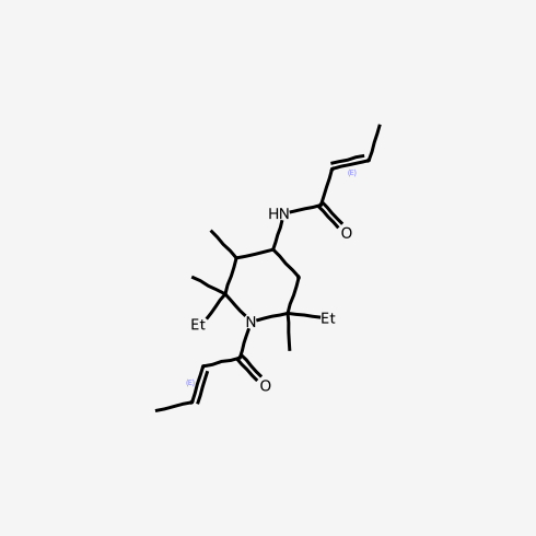 C/C=C/C(=O)NC1CC(C)(CC)N(C(=O)/C=C/C)C(C)(CC)C1C